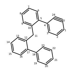 c1cccc(-c2ccccc2Cc2ccccc2-c2ccccc2)c#1